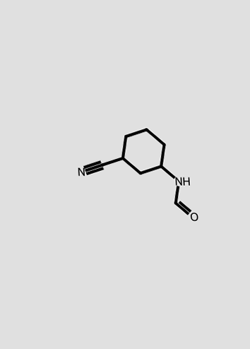 N#CC1CCCC(NC=O)C1